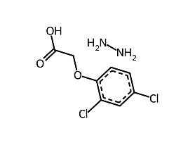 NN.O=C(O)COc1ccc(Cl)cc1Cl